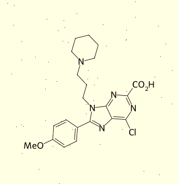 COc1ccc(-c2nc3c(Cl)nc(C(=O)O)nc3n2CCCN2CCCCC2)cc1